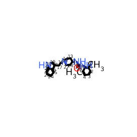 Cc1cccc(C)c1NC(=O)NC1CCN(CCc2c[nH]c3ccccc23)CC1